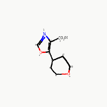 CCOC(=O)c1ncoc1C1CCOCC1